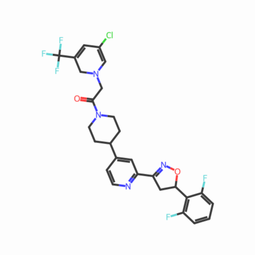 O=C(CN1C=C(Cl)C=C(C(F)(F)F)C1)N1CCC(c2ccnc(C3=NOC(c4c(F)cccc4F)C3)c2)CC1